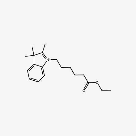 CCOC(=O)CCCCC[N+]1=C(C)C(C)(C)c2ccccc21